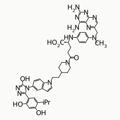 CC(C)c1cc(-c2nnc(O)n2-c2ccc3c(ccn3CCC3CCN(C(=O)CC[C@H](Nc4ccc(N(C)Cc5cnc6nc(N)nc(N)c6n5)cc4)C(=O)O)CC3)c2)c(O)cc1O